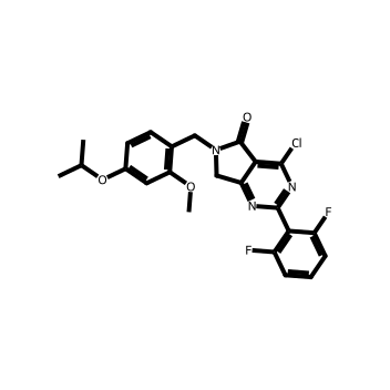 COc1cc(OC(C)C)ccc1CN1Cc2nc(-c3c(F)cccc3F)nc(Cl)c2C1=O